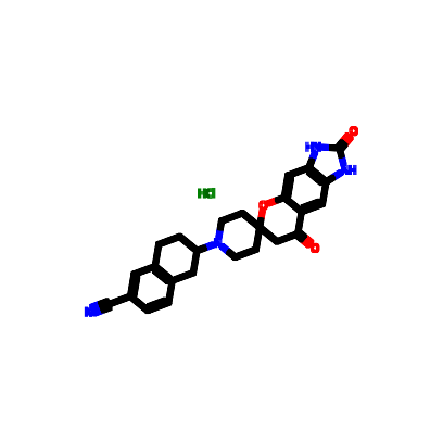 Cl.N#Cc1ccc2c(c1)CCC(N1CCC3(CC1)CC(=O)c1cc4[nH]c(=O)[nH]c4cc1O3)C2